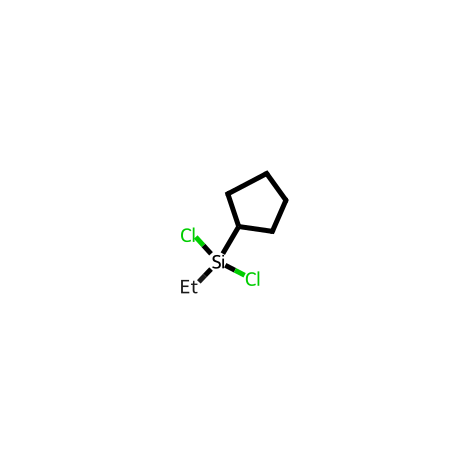 CC[Si](Cl)(Cl)C1CCCC1